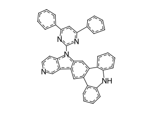 c1ccc(-c2cc(-c3ccccc3)nc(-n3c4ccncc4c4cc5c(cc43)-c3ccccc3Nc3ccccc3-5)n2)cc1